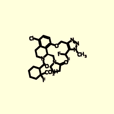 Cn1nnc(COc2ccc(Cl)c3c2[C@@H](CN2CCCC2=O)N(C(=O)C2CCCCC2(F)C(=O)O)CC3)c1C(F)F